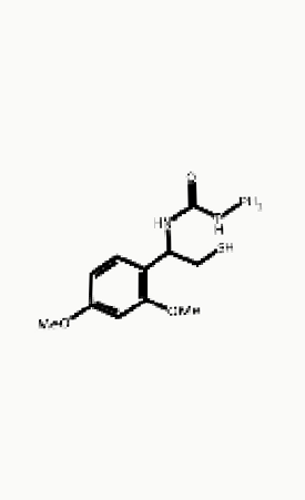 COc1ccc(C(CS)NC(=O)PP)c(OC)c1